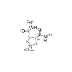 [2H]NC(=O)[C@H]1CC2(CO2)C[C@@H]1C(=O)NC